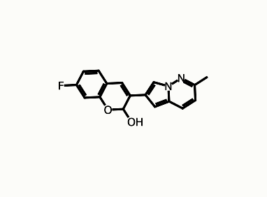 Cc1ccc2cc(C3=Cc4ccc(F)cc4OC3O)cn2n1